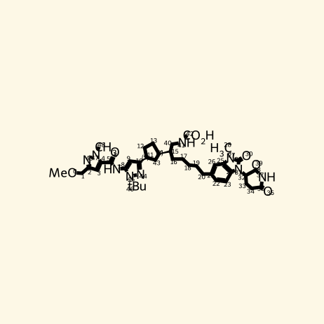 COCc1cc(C(=O)Nc2cc([C@H]3CC[C@@H](C(CCCCCc4ccc5c(c4)n(C)c(=O)n5C4CCC(=O)NC4=O)CNC(=O)O)C3)nn2C(C)(C)C)n(C)n1